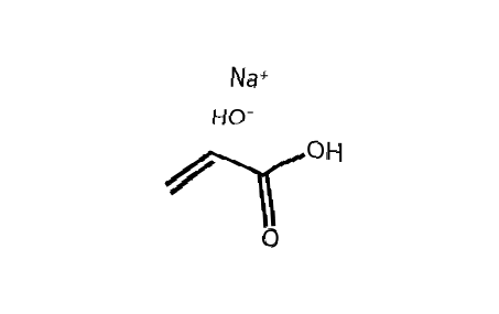 C=CC(=O)O.[Na+].[OH-]